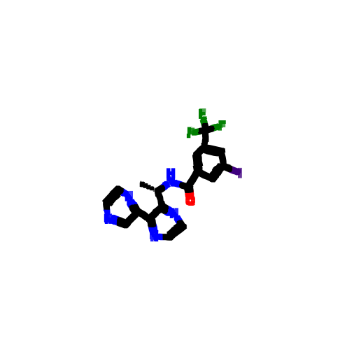 C[C@H](NC(=O)c1cc(I)cc(C(F)(F)F)c1)c1nccnc1-c1cnccn1